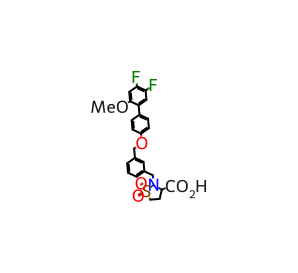 COc1cc(F)c(F)cc1-c1ccc(OCc2cccc(CN3C(C(=O)O)CCS3(=O)=O)c2)cc1